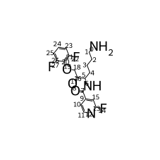 NCCCCC(NC(=O)c1ccnc(F)c1)C(=O)COc1c(F)cccc1F